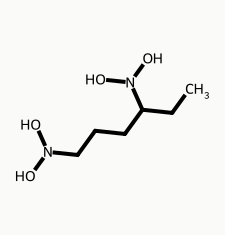 CCC(CCCN(O)O)N(O)O